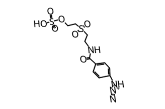 N#[N+]Nc1ccc(C(=O)NCCS(=O)(=O)CCOS(=O)(=O)O)cc1